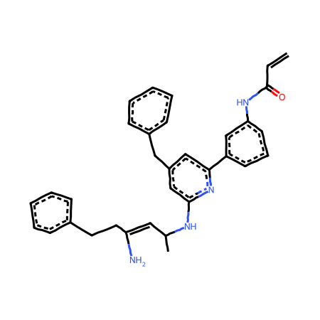 C=CC(=O)Nc1cccc(-c2cc(Cc3ccccc3)cc(NC(C)/C=C(\N)CCc3ccccc3)n2)c1